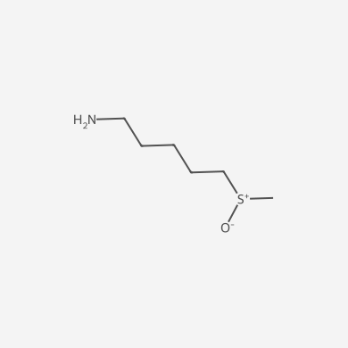 C[S+]([O-])CCCCCN